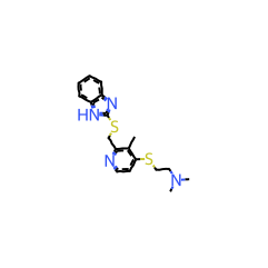 Cc1c(SCCN(C)C)ccnc1CSc1nc2ccccc2[nH]1